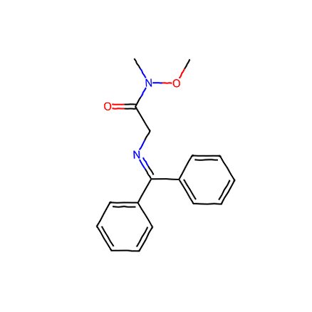 CON(C)C(=O)CN=C(c1ccccc1)c1ccccc1